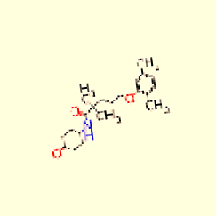 Cc1ccc(C)c(OCCCC(C)(C)C(=O)NC2CCC(=O)CC2)c1